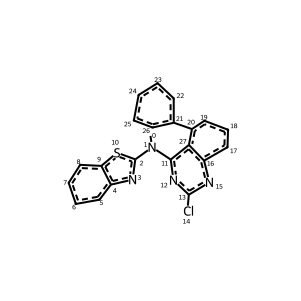 CN(c1nc2ccccc2s1)c1nc(Cl)nc2cccc(-c3ccccc3)c12